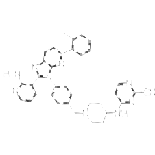 Cc1ccccc1-c1ccc2nc(-c3cccnc3N)n(-c3ccc(CN4CCC(Nc5ccnc(C#N)n5)CC4)cc3)c2n1